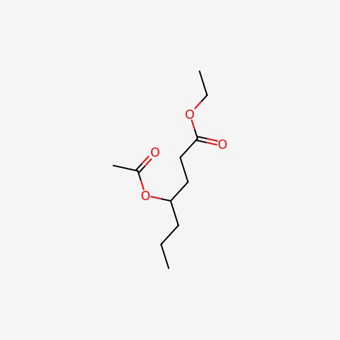 CCCC(CCC(=O)OCC)OC(C)=O